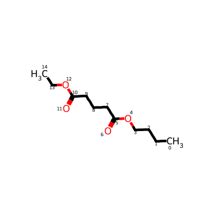 CCCCOC(=O)CCCC(=O)OCC